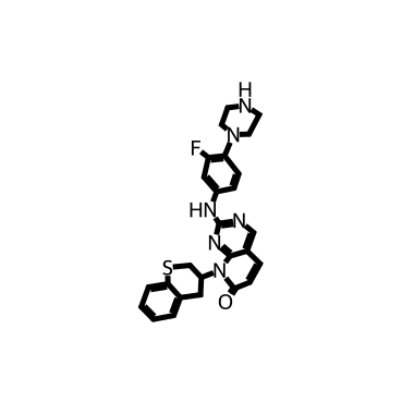 O=c1ccc2cnc(Nc3ccc(N4CCNCC4)c(F)c3)nc2n1C1CSc2ccccc2C1